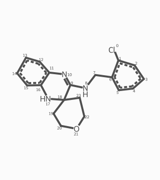 Clc1ccccc1CNC1=Nc2ccccc2NC12CCOCC2